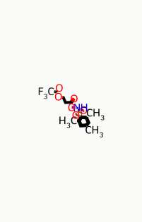 Cc1cc(C)c(S(=O)(=O)NOC(=O)CCOC(=O)C(F)(F)F)c(C)c1